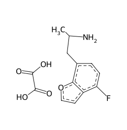 CC(N)Cc1ccc(F)c2ccoc12.O=C(O)C(=O)O